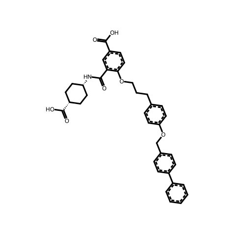 O=C(O)c1ccc(OCCCc2ccc(OCc3ccc(-c4ccccc4)cc3)cc2)c(C(=O)N[C@H]2CC[C@@H](C(=O)O)CC2)c1